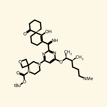 CNCCC[C@H](C)[C@H](C)Oc1cc(N2CCN(C(=O)OC(C)(C)C)C3(COC3)C2)nc(C(=N)C2=C(O)[C@]3(CCCCC3=O)CCC2)n1